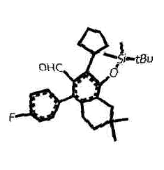 CC1(C)CCc2c(c(O[Si](C)(C)C(C)(C)C)c(C3CCCC3)c(C=O)c2-c2ccc(F)cc2)C1